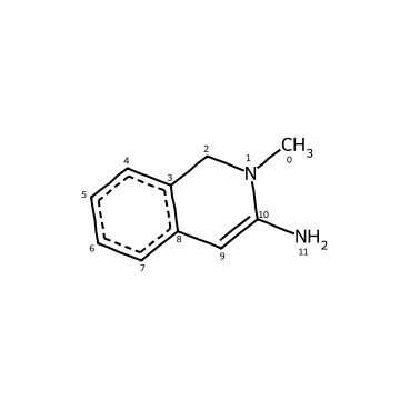 CN1Cc2ccccc2C=C1N